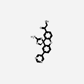 CC(C)(C)CC(=O)c1ccc2c(c1)[C@]1(COC(N)=N1)c1cc(-c3cncnc3)ccc1O2